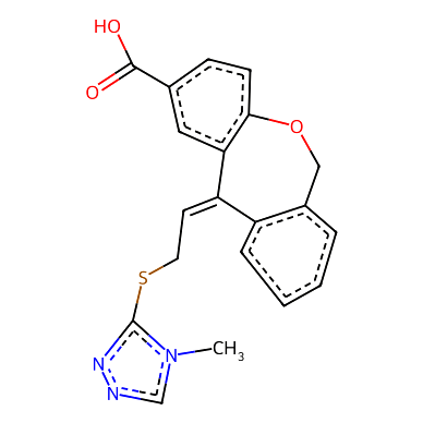 Cn1cnnc1SCC=C1c2ccccc2COc2ccc(C(=O)O)cc21